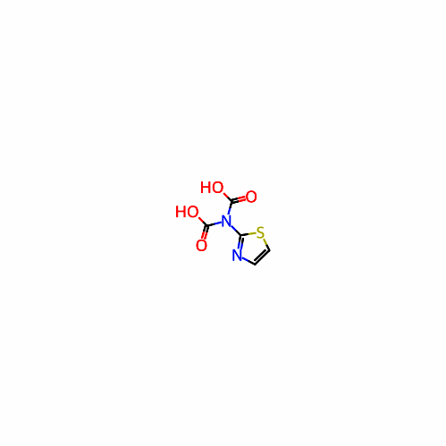 O=C(O)N(C(=O)O)c1nccs1